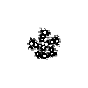 Cc1cc2c(cc1N1c3cc(N4c5ccccc5C5(C)CCCCC45C)cc4c3B(c3oc5cc6c(cc5c3N4c3cc4c(cc3C)C(C)(C)CCC4(C)C)C(C)(C)CCC6(C)C)c3c1sc1cc4c(cc31)C(C)(C)CCC4(C)C)C(C)(C)CCC2(C)C